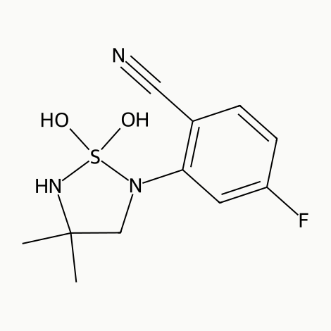 CC1(C)CN(c2cc(F)ccc2C#N)S(O)(O)N1